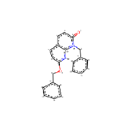 O=c1ccc2ccc(OCc3ccccc3)nc2n1Cc1ccccc1